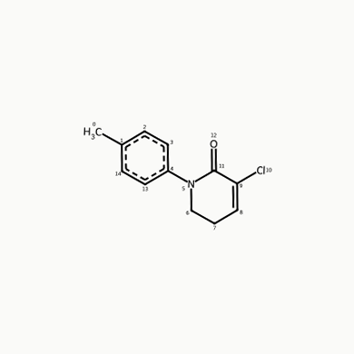 Cc1ccc(N2CCC=C(Cl)C2=O)cc1